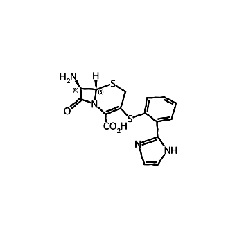 N[C@@H]1C(=O)N2C(C(=O)O)=C(Sc3ccccc3-c3ncc[nH]3)CS[C@@H]12